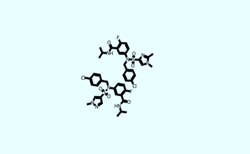 CC(C)NC(=O)c1cc(N(Cc2ccc(Cl)cc2)S(=O)(=O)c2cnn(C)c2)ccc1F.Cc1nc(S(=O)(=O)N(Cc2ccc(Cl)cc2)c2ccc(F)c(C(=O)NC(C)C)c2)cn1C